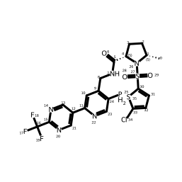 C[C@H]1CC[C@@H](C(=O)NCc2cc(-c3cnc(C(F)(F)F)nc3)ncc2P)N1S(=O)(=O)c1ccc(Cl)s1